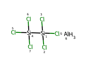 Cl[Si](Cl)(Cl)[Si](Cl)(Cl)Cl.[AlH3]